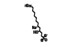 CCCCCCCCCCCCCCCCCCCC(O)CCS(=O)(=O)[O-].[Na+]